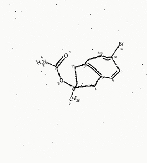 CC1(OC(N)=O)Cc2ccc(Br)cc2C1